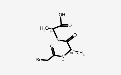 C[C@H](NC(=O)CBr)C(=O)N[C@H](C)C(=O)O